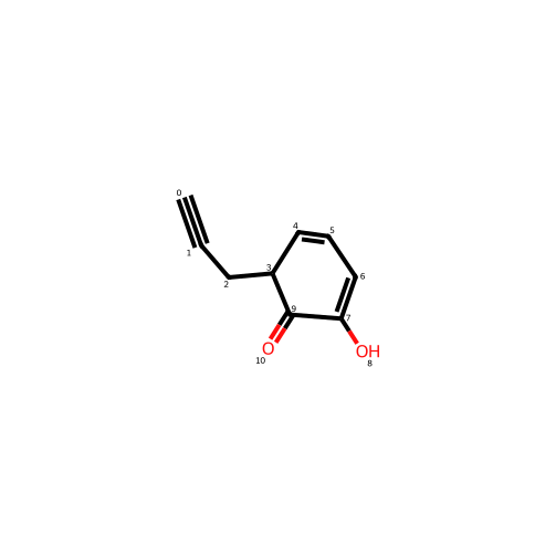 C#CCC1C=CC=C(O)C1=O